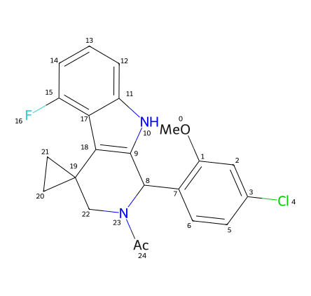 COc1cc(Cl)ccc1C1c2[nH]c3cccc(F)c3c2C2(CC2)CN1C(C)=O